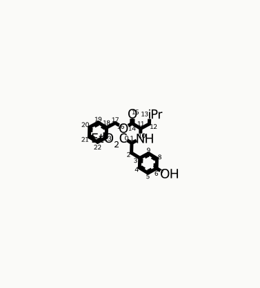 CCOC(=O)C(Cc1ccc(O)cc1)NC(CC(C)C)C(=O)OCc1ccccc1